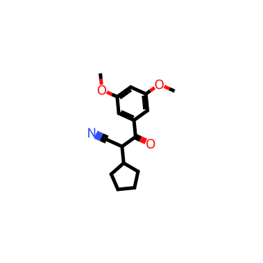 COc1cc(OC)cc(C(=O)C(C#N)C2CCCC2)c1